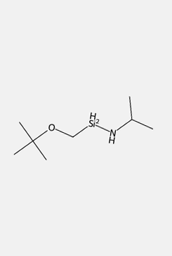 CC(C)N[SiH2]COC(C)(C)C